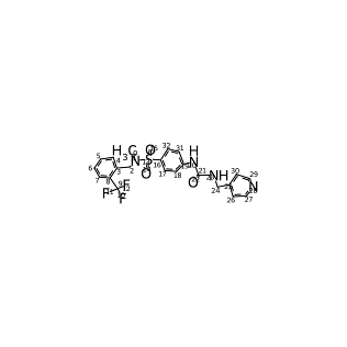 CN(Cc1ccccc1C(F)(F)F)S(=O)(=O)c1ccc(NC(=O)NCc2ccncc2)cc1